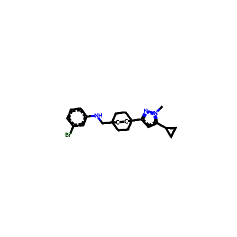 Cn1nc(C23CCC(CNc4cccc(Br)c4)(CC2)CC3)cc1C1CC1